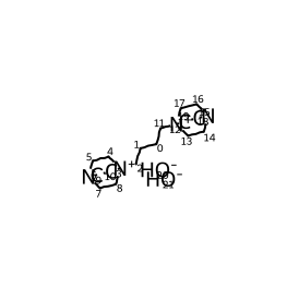 C(CC[N+]12CCN(CC1)CC2)C[N+]12CCN(CC1)CC2.[OH-].[OH-]